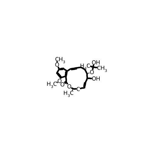 COc1cc2c(c(OC)c1)C(=O)O[C@@H](C)C/C=C\C(O)[C@@H](OC(C)(C)O)CC/C=C/2